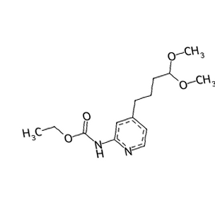 CCOC(=O)Nc1cc(CCCC(OC)OC)ccn1